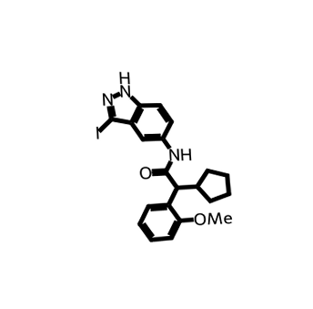 COc1ccccc1C(C(=O)Nc1ccc2[nH]nc(I)c2c1)C1CCCC1